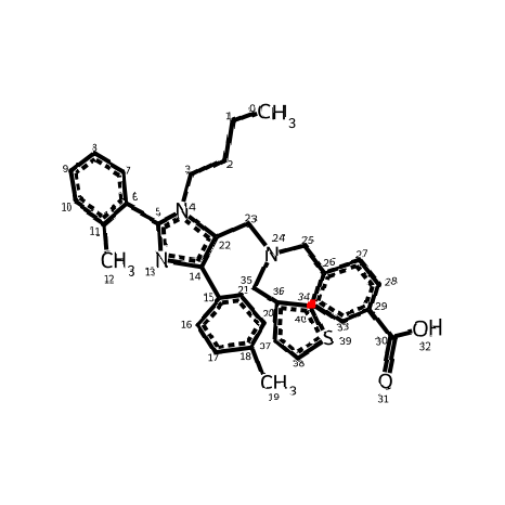 CCCCn1c(-c2ccccc2C)nc(-c2ccc(C)cc2)c1CN(Cc1ccc(C(=O)O)cc1)Cc1ccsc1